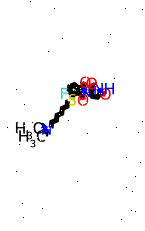 CCN(CC)CCCCCCCCSc1c(F)ccc2c1C(=O)N(C1CCC(=O)NC1=O)C2=O